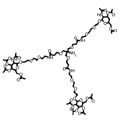 CC(=O)NC1C(OC(C)=O)CC(COC(C)=O)OC1OCCOCCOCCNC(=O)CCOCC(N)(COCCC(=O)NCCOCCOCCOC1OC(COC(C)=O)C(OC(C)=O)C(OC(C)=O)C1NC(C)=O)COCCC(=O)NCCOCCOCCOC1OC(COC(C)=O)C(OC(C)=O)C(OC(C)=O)C1NC(C)=O